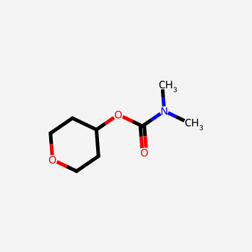 CN(C)C(=O)OC1CCOCC1